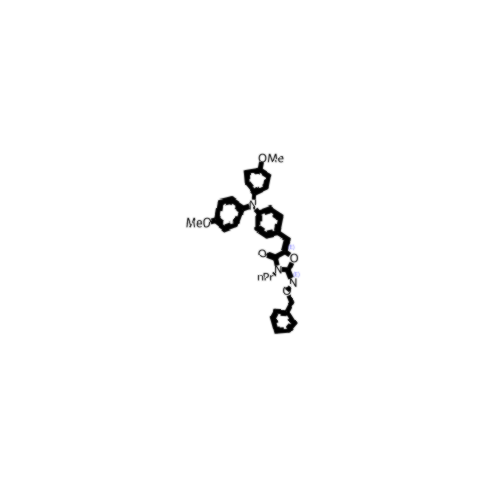 CCCN1C(=O)/C(=C\c2ccc(N(c3ccc(OC)cc3)c3ccc(OC)cc3)cc2)O/C1=N/OCc1ccccc1